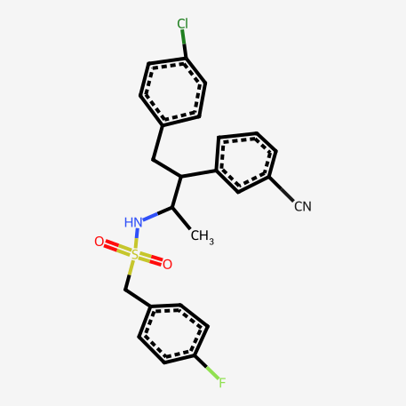 CC(NS(=O)(=O)Cc1ccc(F)cc1)C(Cc1ccc(Cl)cc1)c1cccc(C#N)c1